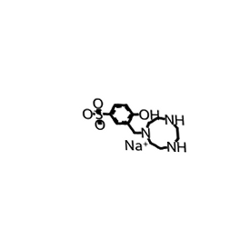 O=S(=O)([O-])c1ccc(O)c(CN2CCNCCNCC2)c1.[Na+]